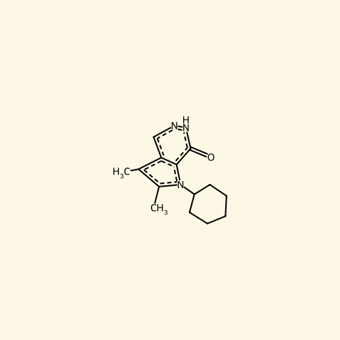 Cc1c(C)n(C2CCCCC2)c2c(=O)[nH]ncc12